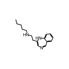 CCCCCNCCC1=CN=Cc2ccccc2N1